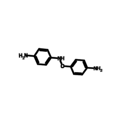 Nc1ccc(NOc2ccc(N)cc2)cc1